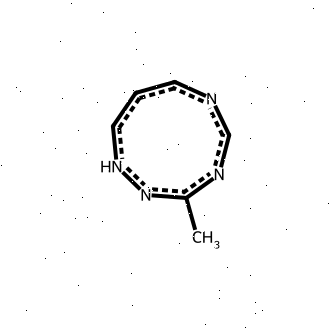 Cc1ncnccc[nH]n1